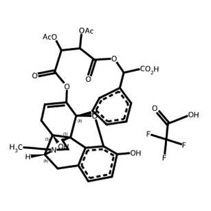 CC(=O)OC(C(=O)OC1=CC[C@@]2(O)[C@H]3Cc4ccc(O)c5c4[C@@]2(CCN3C)[C@H]1O5)C(OC(C)=O)C(=O)OC(C(=O)O)c1ccccc1.O=C(O)C(F)(F)F